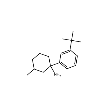 CC1CCCC(N)(c2cccc(C(C)(C)C)c2)C1